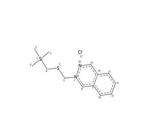 C[Si](C)(C)CSC[n+]1cc2ccccc2cn1.[Cl-]